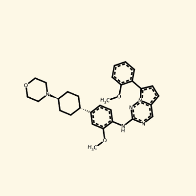 COc1cc([C@H]2CC[C@H](N3CCOCC3)CC2)ccc1Nc1ncc2ccc(-c3ccccc3OC)n2n1